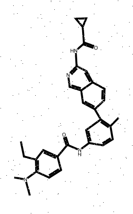 CCc1cc(C(=O)Nc2ccc(C)c(-c3ccc4cc(NC(=O)C5CC5)ncc4c3)c2)ccc1N(C)C